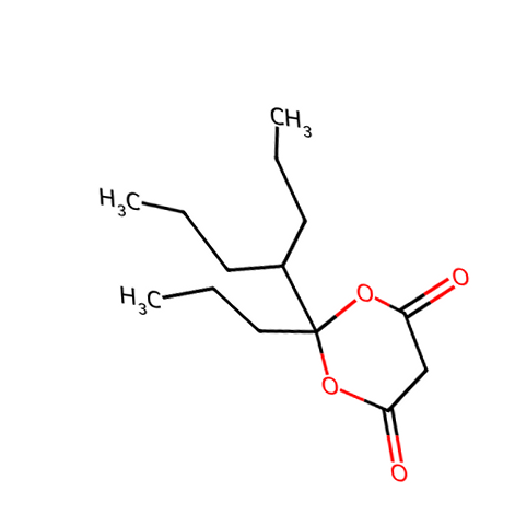 CCCC(CCC)C1(CCC)OC(=O)CC(=O)O1